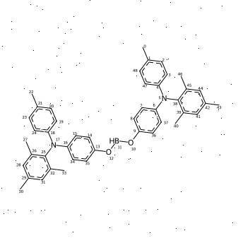 Cc1ccc(N(c2ccc(OBOc3ccc(N(c4ccc(C)cc4)c4c(C)cc(C)cc4C)cc3)cc2)c2c(C)cc(C)cc2C)cc1